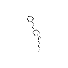 CCCCCOc1ccc([CH]Cc2ccccc2)cn1